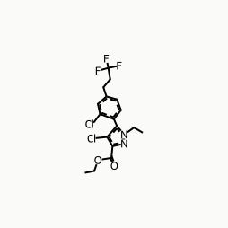 CCOC(=O)c1nn(CC)c(-c2ccc(CCC(F)(F)F)cc2Cl)c1Cl